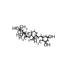 C=C1/C(=C\C=C2/CCC[C@]3(C)[C@@H]([C@H](C)CC(O)CC(C)(C)O)CC[C@@H]23)CC(O)CC1O